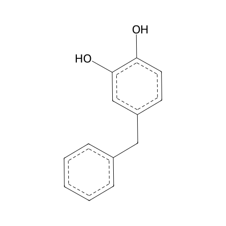 Oc1ccc(Cc2ccccc2)cc1O